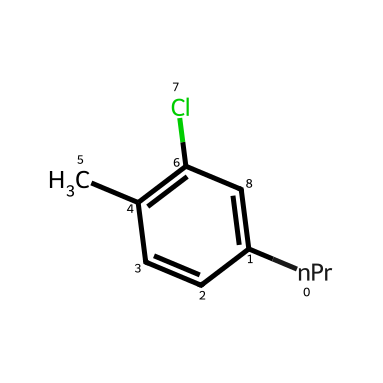 CCCc1ccc(C)c(Cl)c1